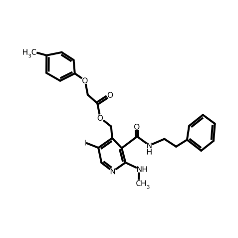 CNc1ncc(I)c(COC(=O)COc2ccc(C)cc2)c1C(=O)NCCc1ccccc1